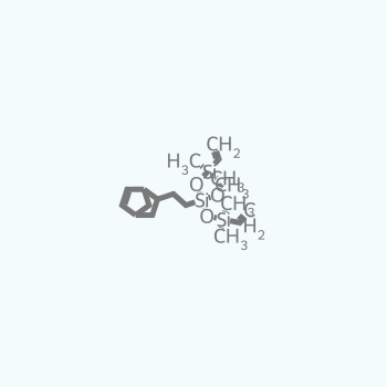 C=C[Si](C)(C)O[Si](CCC1CC2C=CC1C2)(OC)O[Si](C)(C)C=C